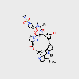 CCn1c(-c2cnccc2COC)c2c3cc(ccc31)-c1cc(O)cc(c1)C[C@H](NC(=O)C(C(C)C)N(C)C(=O)[C@H]1CCN(S(=O)(=O)N3CC3)C1)C(=O)N1CCC[C@H](N1)C(=O)OCC(C)(C)C2